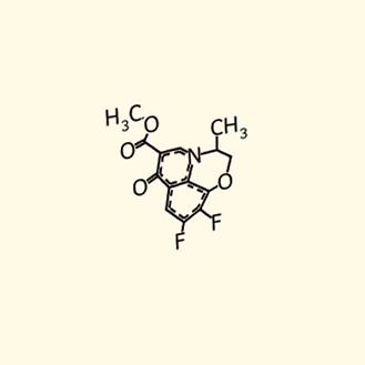 COC(=O)c1cn2c3c(c(F)c(F)cc3c1=O)OCC2C